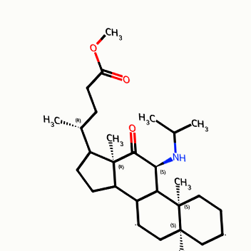 COC(=O)CC[C@@H](C)C1CCC2C3[CH]C[C@@H]4C[CH]CC[C@]4(C)C3[C@H](NC(C)C)C(=O)[C@@]21C